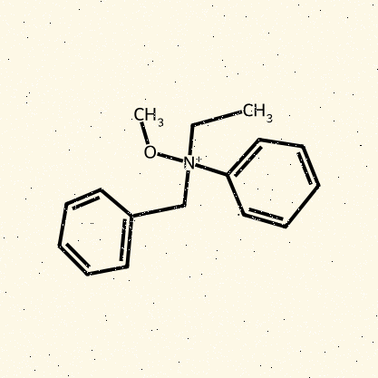 CC[N+](Cc1ccccc1)(OC)c1[c]cccc1